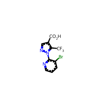 O=C(O)c1cnn(-c2ncccc2Br)c1C(F)(F)F